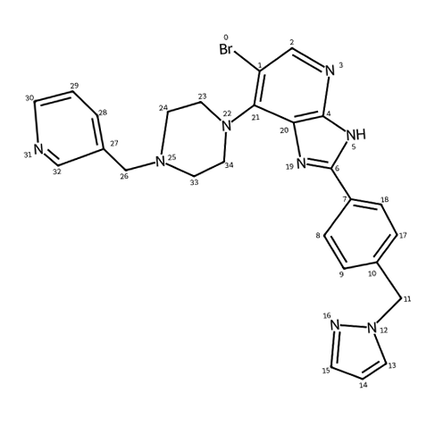 Brc1cnc2[nH]c(-c3ccc(Cn4cccn4)cc3)nc2c1N1CCN(Cc2cccnc2)CC1